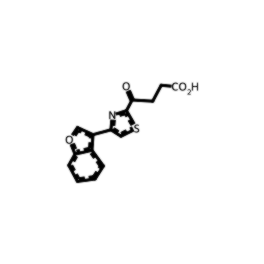 O=C(O)CCC(=O)c1nc(-c2coc3ccccc23)cs1